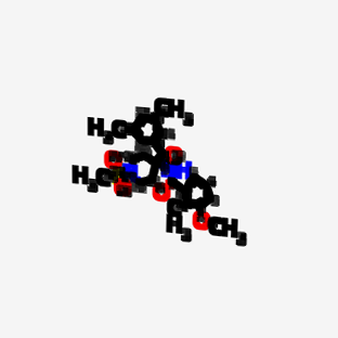 COc1cccc(C(=O)NC2(C(=O)c3cc(C)cc(C)c3)CCN(S(C)(=O)=O)CC2)c1C